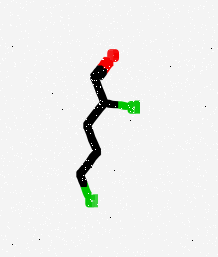 O=CC(Cl)CCCCl